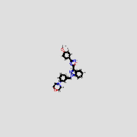 FC(F)(F)Oc1ccc(-c2noc(-c3nn(Cc4cccc(N5CCOCC5)c4)c4ccccc34)n2)cc1